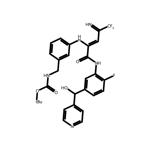 CC(C)(C)OC(=O)NCc1cccc(N/C(=C\C(=N)C(F)(F)F)C(=O)Nc2cc(C(O)c3ccncc3)ccc2F)c1